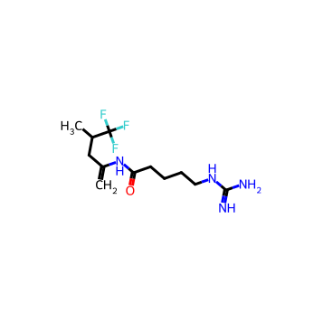 C=C(CC(C)C(F)(F)F)NC(=O)CCCCNC(=N)N